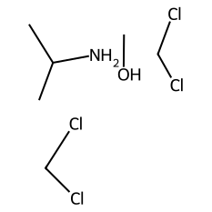 CC(C)N.CO.ClCCl.ClCCl